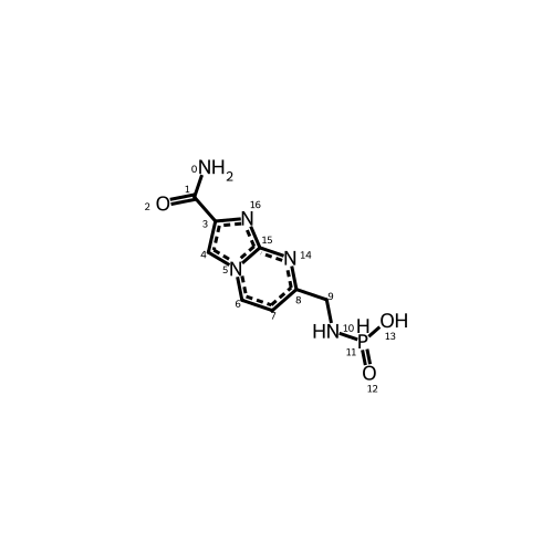 NC(=O)c1cn2ccc(CN[PH](=O)O)nc2n1